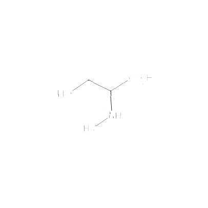 O=C(O)C(CO)NS